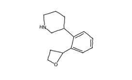 c1ccc(C2CCO2)c(C2CCCNC2)c1